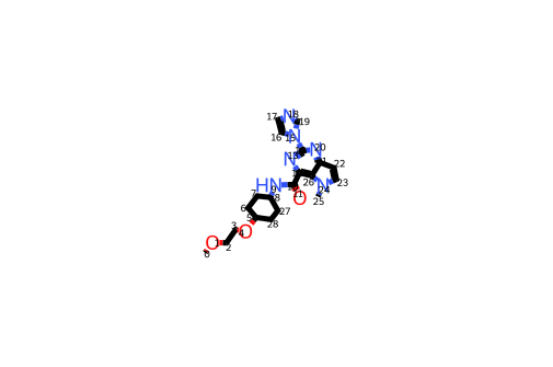 COCCOC1CCC(NC(=O)c2nc(-n3ccnc3)nc3ccn(C)c23)CC1